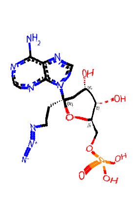 [N-]=[N+]=NCC[C@@]1(n2cnc3c(N)ncnc32)O[C@H](COP(=O)(O)O)[C@@H](O)[C@H]1O